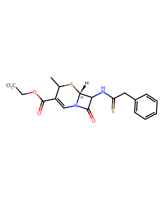 CC1S[C@@H]2C(NC(=S)Cc3ccccc3)C(=O)N2C=C1C(=O)OCC(Cl)(Cl)Cl